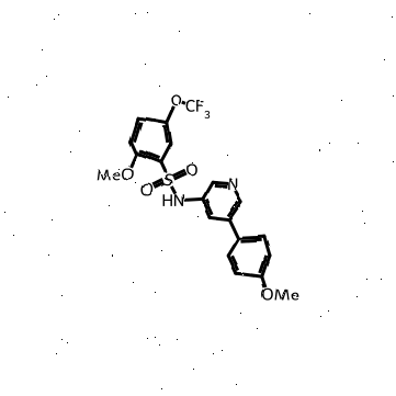 COc1ccc(-c2cncc(NS(=O)(=O)c3cc(OC(F)(F)F)ccc3OC)c2)cc1